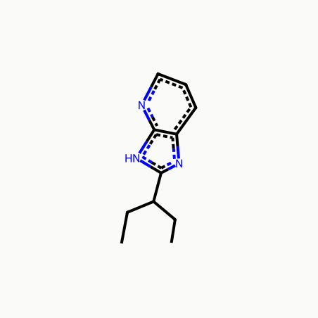 CCC(CC)c1nc2cccnc2[nH]1